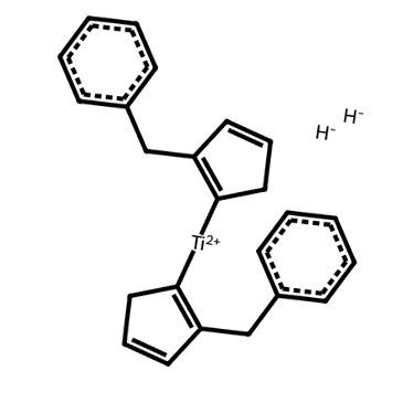 C1=CC(Cc2ccccc2)=[C]([Ti+2][C]2=C(Cc3ccccc3)C=CC2)C1.[H-].[H-]